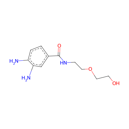 Nc1ccc(C(=O)NCCOCCO)cc1N